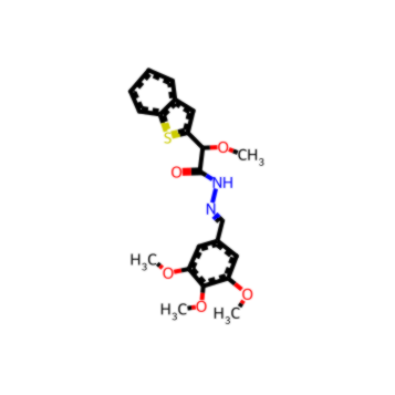 COc1cc(/C=N/NC(=O)C(OC)c2cc3ccccc3s2)cc(OC)c1OC